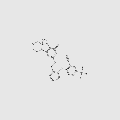 CC12COCCN1c1cc(OCc3ccccc3Oc3ccc(C(F)(F)F)cc3C#N)nc(=O)n1C2